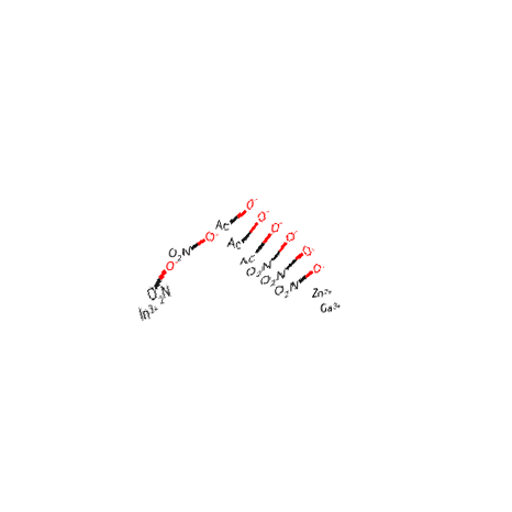 CC(=O)[O-].CC(=O)[O-].CC(=O)[O-].O=[N+]([O-])[O-].O=[N+]([O-])[O-].O=[N+]([O-])[O-].O=[N+]([O-])[O-].O=[N+]([O-])[O-].[Ga+3].[In+3].[Zn+2]